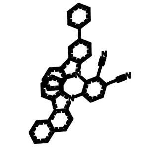 N#Cc1ccc(-n2c3ccccc3c3c4ccccc4ccc32)c(-n2c3ccccc3c3cc(-c4ccccc4)ccc32)c1C#N